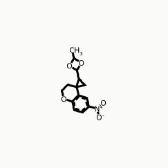 CC1OC(C2CC23CCOc2ccc([N+](=O)[O-])cc23)O1